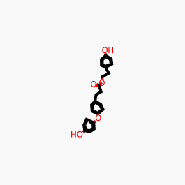 O=C(CCc1ccc(Oc2ccc(O)cc2)cc1)OCCc1ccc(O)cc1